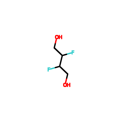 OCC(F)C(F)CO